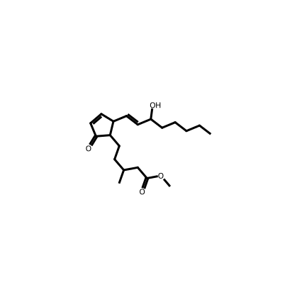 CCCCCC(O)C=CC1C=CC(=O)C1CCC(C)CC(=O)OC